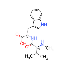 CN[C@H](C(=O)N[C@@H](Cc1c[nH]c2ccccc12)C(=O)O)C(C)C